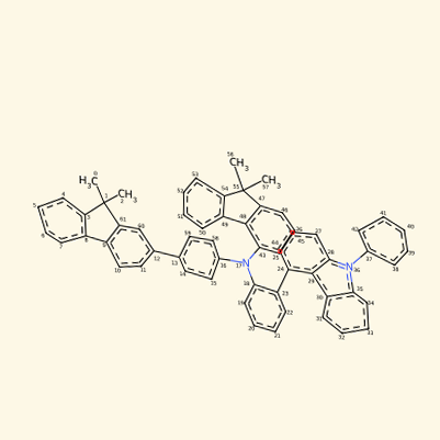 CC1(C)c2ccccc2-c2ccc(-c3ccc(N(c4ccccc4-c4cccc5c4c4ccccc4n5-c4ccccc4)c4cccc5c4-c4ccccc4C5(C)C)cc3)cc21